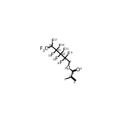 C=C(C)C(=O)OCC(F)(F)C(F)(F)C(F)(F)C(F)C(F)(F)F